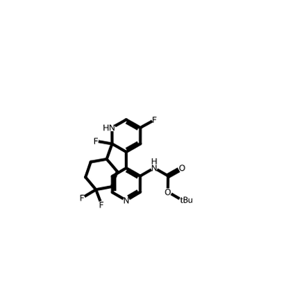 CC(C)(C)OC(=O)Nc1cnccc1C1=CC(F)=CNC1(F)C1CCC(F)(F)CC1